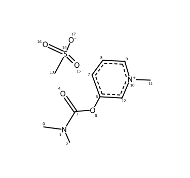 CN(C)C(=O)Oc1ccc[n+](C)c1.CS(=O)(=O)[O-]